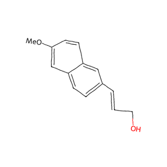 COc1ccc2cc(C=CCO)ccc2c1